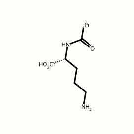 CC(C)C(=O)N[C@H](CCCN)C(=O)O